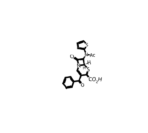 CC(=O)N(c1cccs1)C1C(=O)N2C=C(C(=O)c3ccccc3)C(C(=O)O)S[C@H]12